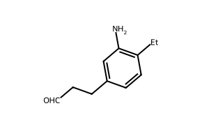 CCc1ccc(CCC=O)cc1N